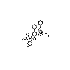 CNC(=O)c1c(-c2ccc(F)cc2)oc2cc(N(CCc3ccccc3)S(C)(=O)=O)c(-c3ccccc3)cc12